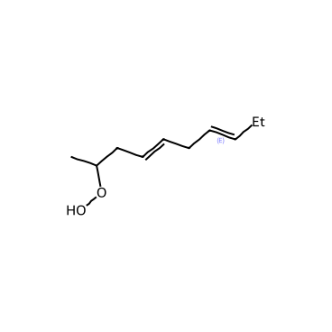 CC/C=C/CC=CCC(C)OO